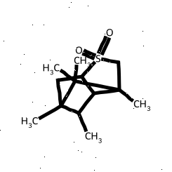 CC1C2C3CC1(C)C(C)(C)C2(C)CS3(=O)=O